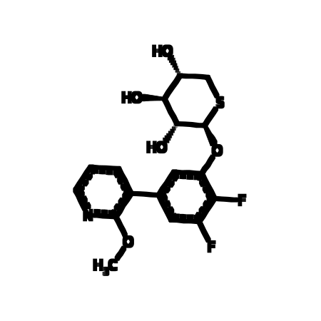 COc1ncccc1-c1cc(F)c(F)c(O[C@@H]2SC[C@@H](O)[C@H](O)[C@H]2O)c1